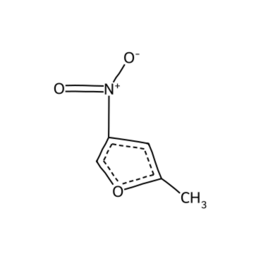 Cc1cc([N+](=O)[O-])co1